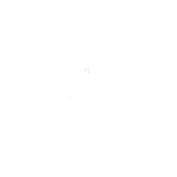 Cc1nc(-c2ccccc2)n(O)c1O